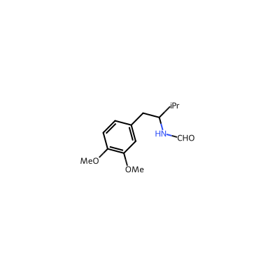 COc1ccc(CC(NC=O)C(C)C)cc1OC